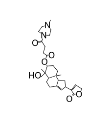 CN1CCN(C(=O)CCC(=O)OC2CCC3(C)C4CC(C5=CCOC5=O)C=C4CCC3C2(C)CO)CC1